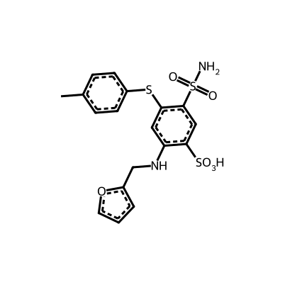 Cc1ccc(Sc2cc(NCc3ccco3)c(S(=O)(=O)O)cc2S(N)(=O)=O)cc1